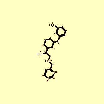 Cc1cccc(OC2CCCC(C(C)CNCc3ccncn3)C2)c1